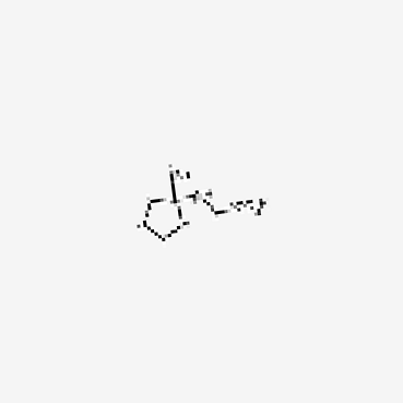 CC(C)(C)C1(NCC(=O)O)CCCC1